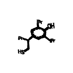 CC(C)c1cc(C(CS)C(C)C)cc(C(C)C)c1O